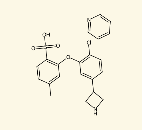 Cc1ccc(S(=O)(=O)O)c(Oc2cc(C3CNC3)ccc2Cl)c1.c1ccncc1